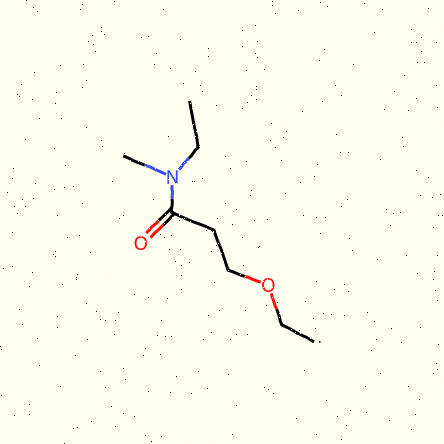 [CH2]COCCC(=O)N(C)CC